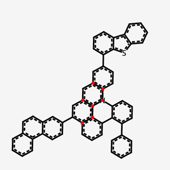 c1ccc(-c2ccccc2-c2c(-c3ccccc3)cccc2N(c2ccc(-c3ccc4c(ccc5ccccc54)c3)cc2)c2ccc(-c3cccc4c3sc3ccccc34)cc2)cc1